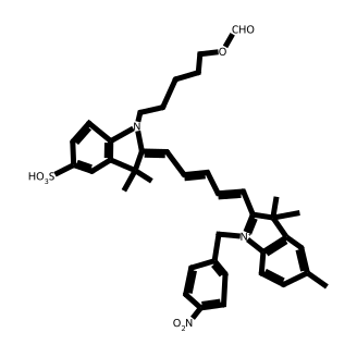 Cc1ccc2c(c1)C(C)(C)C(/C=C/C=C/C=C1/N(CCCCCOC=O)c3ccc(S(=O)(=O)O)cc3C1(C)C)=[N+]2Cc1ccc([N+](=O)[O-])cc1